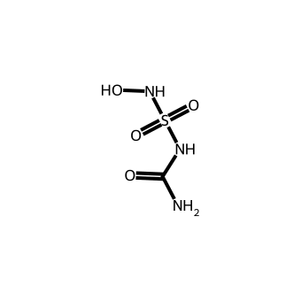 NC(=O)NS(=O)(=O)NO